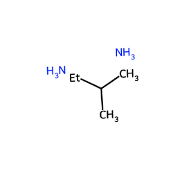 CCC(C)C.N.N